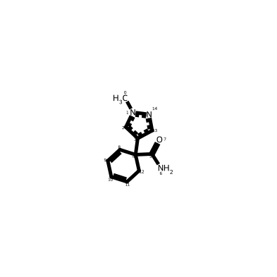 Cn1cc(C2(C(N)=O)C=CC=CC2)cn1